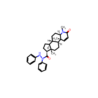 CN1C(=O)C=C[C@]2(C)[C@H]3CC[C@]4(C)[C@@H](C(=O)N(Nc5ccccc5)c5ccccc5)CC[C@H]4[C@@H]3CC[C@@H]12